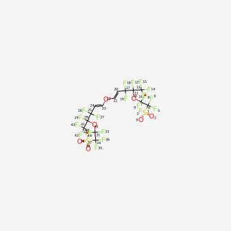 O=S(=O)(F)C(F)(F)C(F)(F)OC(F)(C(F)(F)F)C(F)(F)C=COC=CC(F)(F)C(F)(OC(F)(F)C(F)(F)S(=O)(=O)F)C(F)(F)F